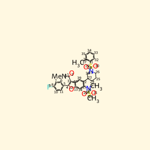 CNC(=O)c1c(-c2ccc(F)cc2)oc2cc(N(C)S(C)(=O)=O)c(C3CCCN(S(=O)(=O)c4ccccc4C)C3)cc12